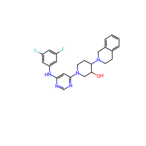 OC1CN(c2cc(Nc3cc(F)cc(F)c3)ncn2)CCC1N1CCc2ccccc2C1